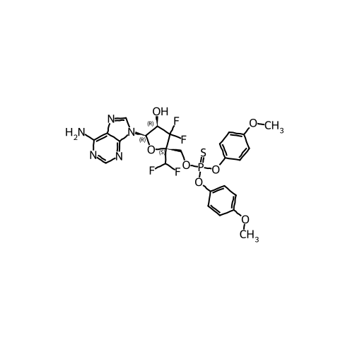 COc1ccc(OP(=S)(OC[C@@]2(C(F)F)O[C@@H](n3cnc4c(N)ncnc43)[C@@H](O)C2(F)F)Oc2ccc(OC)cc2)cc1